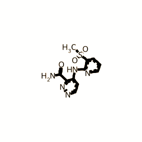 CS(=O)(=O)c1cccnc1Nc1ccnnc1C(N)=O